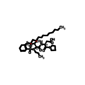 CCCCCCCCCCCCSC1=C(S(=O)(=O)N(CCC)[C@H](C(=O)N[C@@H](CC(=O)O)C(=O)N2CCCC2)C(C)C)C=CCC1